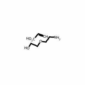 C=CC(=O)O.NCCOCCO